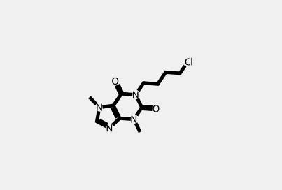 Cn1cnc2c1c(=O)n(CCCCCl)c(=O)n2C